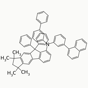 CC1(C)CC(C)(C)c2cc3c(cc21)-c1cccc(N(c2cccc(-c4ccccc4)c2)c2cccc(-c4cccc5ccccc45)c2)c1C3(c1ccccc1)c1ccccc1